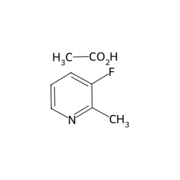 CC(=O)O.Cc1ncccc1F